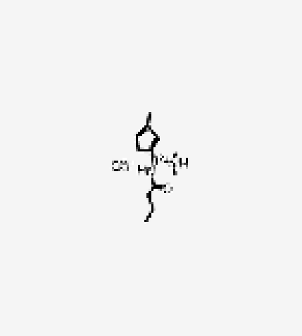 CCCC(=O)[NH][Ti+2]([C]1=CC(C)=CC1)[SiH](C)C.[Cl-].[Cl-]